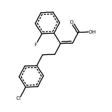 O=C(O)C=C(CCc1ccc(Cl)cc1)c1ccccc1F